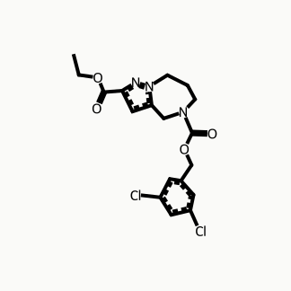 CCOC(=O)c1cc2n(n1)CCCN(C(=O)OCc1cc(Cl)cc(Cl)c1)C2